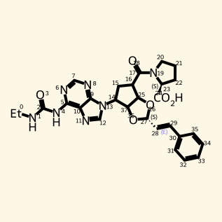 CCNC(=O)Nc1ncnc2c1ncn2C1CC(C(=O)N2CCC[C@H]2C(=O)O)C2O[C@H](/C=C/c3ccccc3)OC21